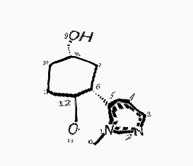 Cn1nccc1[C@H]1C[C@@H](O)CC[C@@H]1[O]